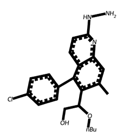 CCCCOC(CO)c1c(C)cc2nc(NN)ccc2c1-c1ccc(Cl)cc1